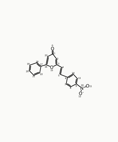 O=c1cc(C=Cc2ccc([N+](=O)[O-])cc2)oc(-c2ccccc2)c1